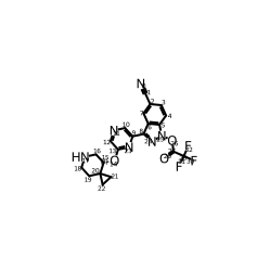 N#Cc1ccc2c(c1)c(-c1cncc(O[C@H]3CNCCC34CC4)n1)nn2OC(=O)C(F)(F)F